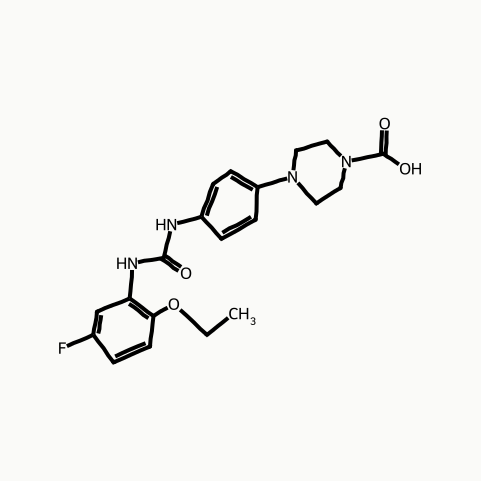 CCOc1ccc(F)cc1NC(=O)Nc1ccc(N2CCN(C(=O)O)CC2)cc1